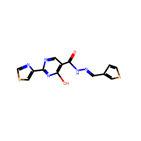 O=C(NN=Cc1ccsc1)c1cnc(-c2cscn2)nc1O